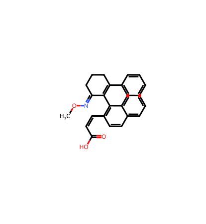 CO/N=C1\CCCC(c2ccccc2)=C1c1c(C=CC(=O)O)ccc2ccccc12